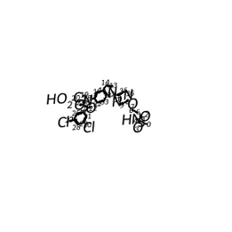 CS(=O)(=O)NCCOc1cnc(-n2ccc3cc(N(CC(=O)O)S(=O)(=O)c4cc(Cl)cc(Cl)c4)ccc32)cn1